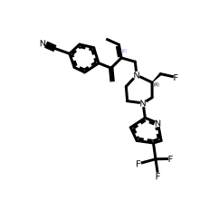 C=C(/C(=C\C)CN1CCN(c2ccc(C(F)(F)F)cn2)C[C@@H]1CF)c1ccc(C#N)cc1